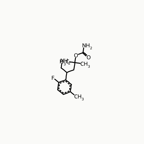 Cc1ccc(F)c(C(CN)CC(C)(C)OC(N)=O)c1